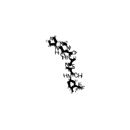 Cc1ccc(NC(O)c2cnc(C(C)NC(=O)c3ncnc(Nc4ccncc4)c3Cl)s2)cc1C(F)(F)F